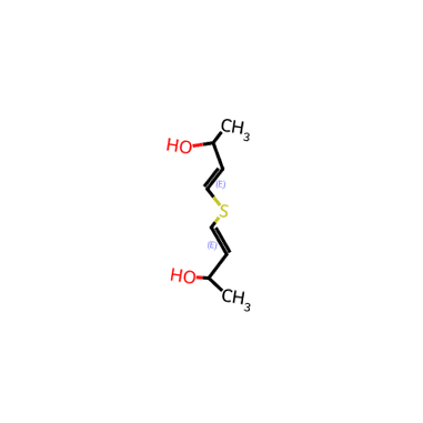 CC(O)/C=C/S/C=C/C(C)O